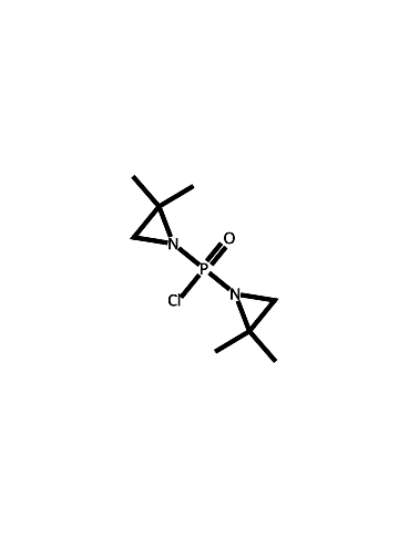 CC1(C)CN1P(=O)(Cl)N1CC1(C)C